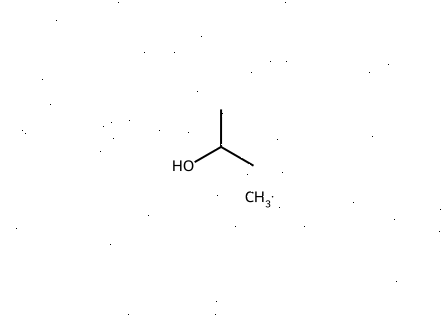 CC(C)O.[CH3]